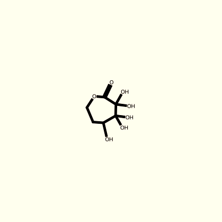 O=C1OCCC(O)C(O)(O)C1(O)O